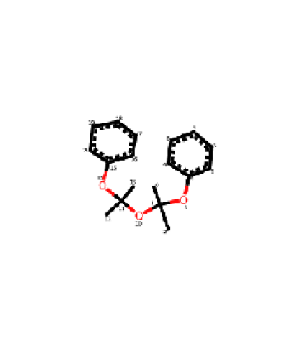 CC(C)(Oc1ccccc1)OC(C)(C)Oc1ccccc1